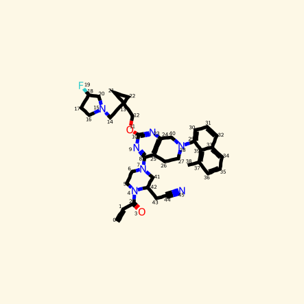 C=CC(=O)N1CCN(c2nc(OCC3(CN4CCC(F)C4)CC3)nc3c2CCN(c2cccc4cccc(C)c24)C3)CC1CC#N